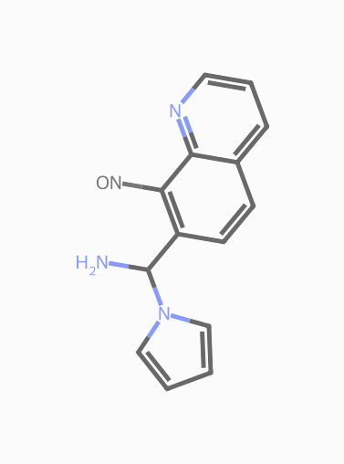 NC(c1ccc2cccnc2c1N=O)n1cccc1